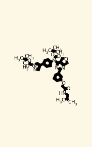 CC(C)CNC(=O)COc1cccc(-c2nc3c(c(N(C(=O)OC(C)(C)C)c4ccc(-c5cnn(C(=O)OC(C)(C)C)c5)cc4)n2)COC3)c1